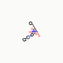 COCOCC(CC(CCCc1ccccc1)C(=O)NO)NC(=O)c1ccc(N2CC=C(c3ccccc3)CC2)cc1